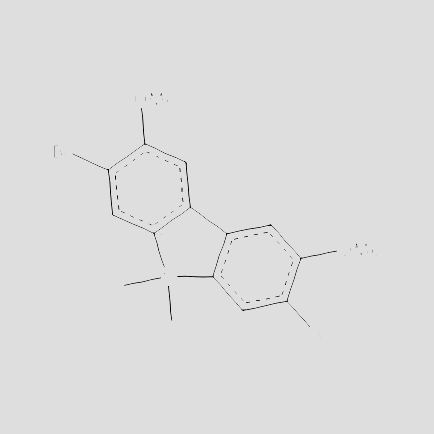 COc1cc2c(cc1Br)[Si](C)(C)c1cc(Br)c(OC)cc1-2